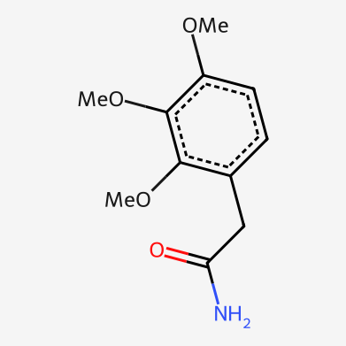 COc1ccc(CC(N)=O)c(OC)c1OC